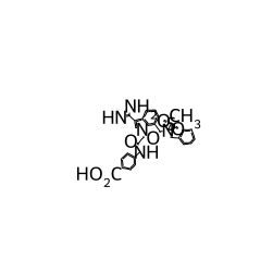 CS(=O)(=O)N(Cc1ccccc1)C(=O)c1cccc2c(C(=N)N)cn(CC(=O)Nc3ccc(C(=O)O)cc3)c12